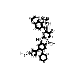 COc1cc(C2CCCCC2)c(-c2cnn(C)c2)cc1Nc1ncc(Br)c(Nc2ccc3nccnc3c2P(C)(C)=O)n1